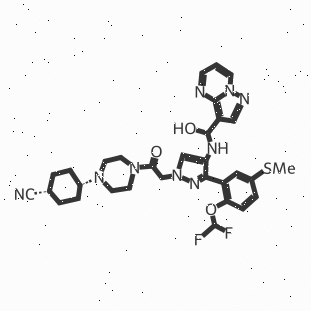 CSc1ccc(OC(F)F)c(-c2nn(CC(=O)N3CCN([C@H]4CC[C@@H](C#N)CC4)CC3)cc2NC(O)c2cnn3cccnc23)c1